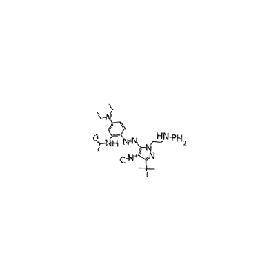 [C-]#[N+]c1c(C(C)(C)C)nn(CCNP)c1/N=N/c1ccc(N(CC)CC)cc1NC(C)=O